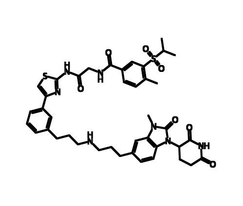 Cc1ccc(C(=O)NCC(=O)Nc2nc(-c3cccc(CCCNCCCc4ccc5c(c4)n(C)c(=O)n5C4CCC(=O)NC4=O)c3)cs2)cc1S(=O)(=O)C(C)C